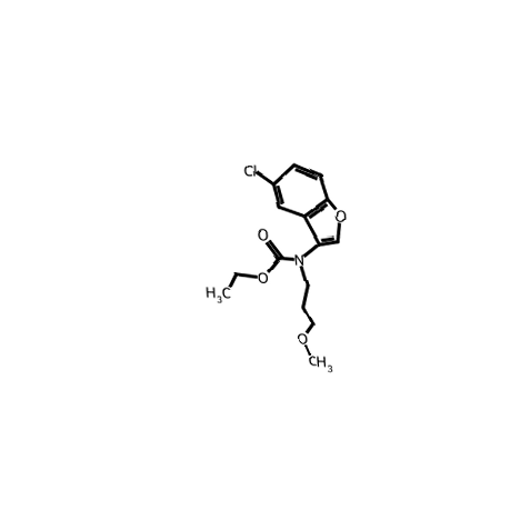 CCOC(=O)N(CCCOC)c1coc2ccc(Cl)cc12